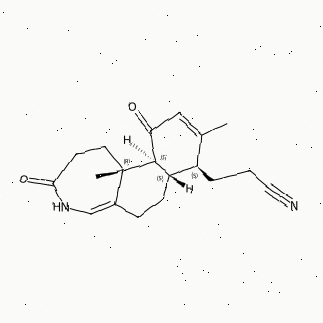 CC1=CC(=O)[C@H]2[C@@H](CCC3=CNC(=O)CC[C@@]32C)[C@@H]1CCC#N